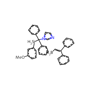 BC=C(c1ccccc1)c1ccccc1.COc1cccc([SiH2]C(c2ccccc2)(c2ccccc2)n2ccnc2)c1